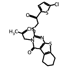 C=C(C)Cn1c(SCC(=O)c2ccc(Cl)s2)nc2sc3c(c2c1=O)CCCC3